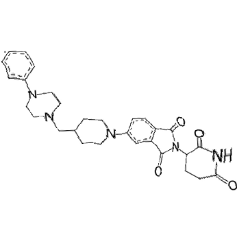 O=C1CCC(N2C(=O)c3ccc(N4CCC(CN5CCN(c6cc[c]cc6)CC5)CC4)cc3C2=O)C(=O)N1